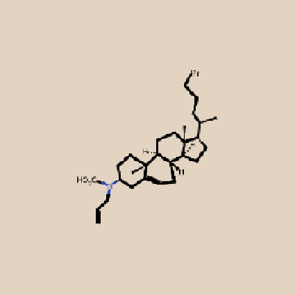 C=CCN(C(=O)O)[C@H]1CC[C@@]2(C)C(=CC[C@H]3[C@@H]4CC[C@H]([C@H](C)CCCC(C)C)[C@@]4(C)CC[C@@H]32)C1